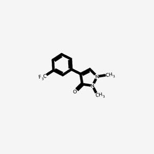 Cn1cc(-c2cccc(C(F)(F)F)c2)c(=O)n1C